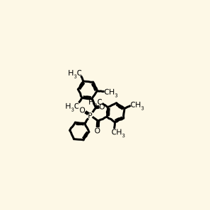 Cc1cc(C)c(C(=O)P(=O)(C(=O)c2c(C)cc(C)cc2C)C2=CCCC=C2)c(C)c1